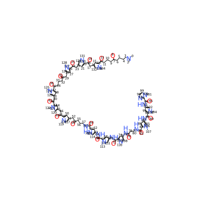 CN(C)CCCCC(=O)CCCC(=O)c1cc(CC(=O)c2cc(CC(=O)c3cc(CC(=O)CCCC(=O)c4cc(CC(=O)c5cc(CC(=O)c6cc(CC(=O)CCCNC(=O)c7cc(NC(=O)c8cc(NC(=O)c9cc(NC(=O)CCNC(=O)c%10cc(NC(=O)c%11cc(NC(=O)c%12nccn%12C)cn%11C)cn%10C)cn9C)cn8C)cn7C)cn6C)cn5C)cn4C)cn3C)cn2C)cn1C